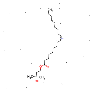 CCCCCCCC/C=C\CCCCCCCC(=O)OCCC(C)(C)O